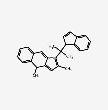 CC1=C(C(C)(C)C2C=Cc3ccccc32)C2=Cc3ccccc3C(C)C2=C1